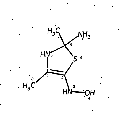 CC1=C(NO)SC(C)(N)N1